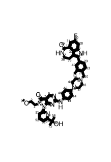 COCCn1c(=O)c2cnc(Nc3ccc(N4CCN(Cc5ccc(-c6[nH]c7cc(F)cc8c7c6CCNC8=O)cc5C)CC4)cc3)nc2n1-c1cccc(C(C)(C)O)n1